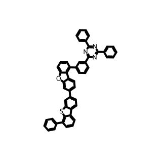 c1ccc(-c2nc(-c3ccccc3)nc(-c3cccc(-c4cccc5oc6cc(-c7ccc8c(c7)sc7c(-c9ccccc9)cccc78)ccc6c45)c3)n2)cc1